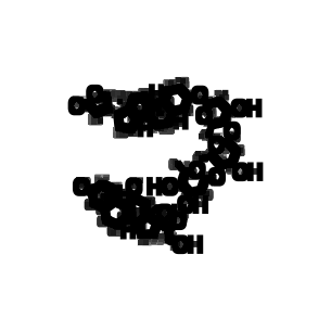 C[C@H]1O[C@@H](O[C@H]2[C@@H](O)C[C@H](O[C@H]3[C@@H](O)C[C@H](O[C@H]4CC[C@@]5(C)[C@H](CC[C@@H]6[C@@H]5CC[C@]5(C)[C@@H](C7=CC(=O)OC7)CC[C@]65O)C4)O[C@@H]3C)O[C@@H]2C)C[C@H](O)[C@@H]1O.C[C@]12C=CC(=O)C=C1CC[C@@H]1[C@@H]2C(=O)C[C@@]2(C)[C@H]1CC[C@]2(O)C(=O)CO